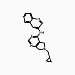 c1ccc2ncc(Nc3ncnc4c3CN(CC3CC3)C4)cc2c1